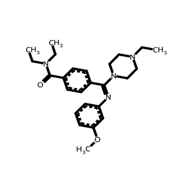 CCN1CCN(C(=Nc2cccc(OC)c2)c2ccc(C(=O)N(CC)CC)cc2)CC1